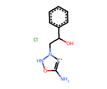 NC1=[C+]N(CC(O)c2ccccc2)NO1.[Cl-]